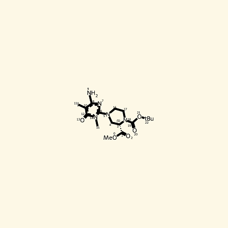 COC(=O)[C@@H]1CN(c2nc(N)c(I)c(=O)n2C)CCN1C(=O)OC(C)(C)C